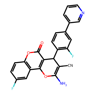 N#CC1=C(N)Oc2c(c(=O)oc3ccc(F)cc23)C1c1ccc(-c2cccnc2)cc1F